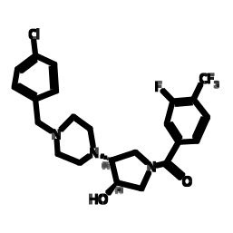 O=C(c1ccc(C(F)(F)F)c(F)c1)N1C[C@@H](O)[C@H](N2CCN(Cc3ccc(Cl)cc3)CC2)C1